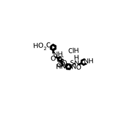 Cl.O=C(O)c1cccc(CNC(=O)c2csc(S(=O)(=O)Nc3ccc4nc(NC(=O)C5CCNCC5)sc4c3)c2)c1